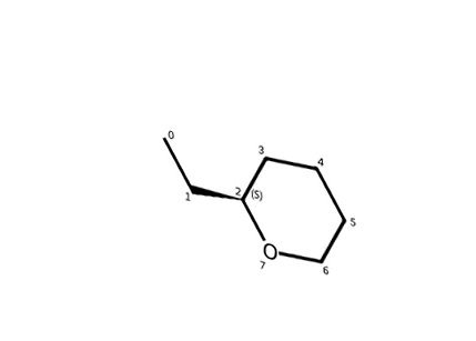 CC[C@H]1CCCCO1